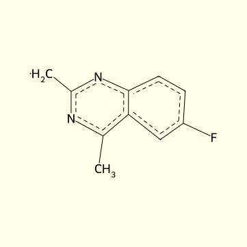 [CH2]c1nc(C)c2cc(F)ccc2n1